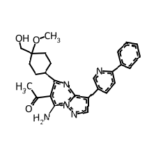 COC1(CO)CCC(c2nc3c(-c4ccc(-c5ccccc5)nc4)cnn3c(N)c2C(C)=O)CC1